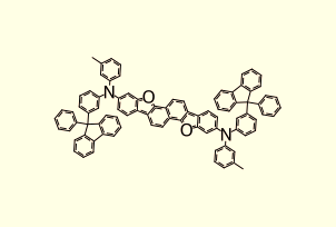 Cc1cccc(N(c2cccc(C3(c4ccccc4)c4ccccc4-c4ccccc43)c2)c2ccc3c(c2)oc2c3ccc3c2ccc2c4ccc(N(c5cccc(C)c5)c5cccc(C6(c7ccccc7)c7ccccc7-c7ccccc76)c5)cc4oc23)c1